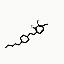 CCCCCC1CCC(CCc2ccc(CC)c(F)c2F)CC1